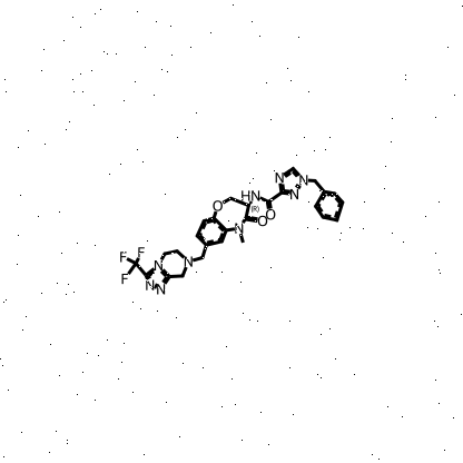 CN1C(=O)[C@H](NC(=O)c2ncn(Cc3ccccc3)n2)COc2ccc(CN3CCn4c(nnc4C(F)(F)F)C3)cc21